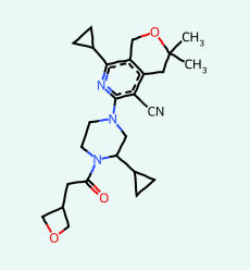 CC1(C)Cc2c(C#N)c(N3CCN(C(=O)CC4COC4)C(C4CC4)C3)nc(C3CC3)c2CO1